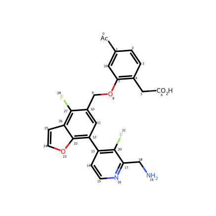 CC(=O)c1ccc(CC(=O)O)c(OCc2cc(-c3ccnc(CN)c3F)c3occc3c2F)c1